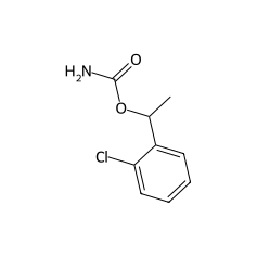 CC(OC(N)=O)c1ccccc1Cl